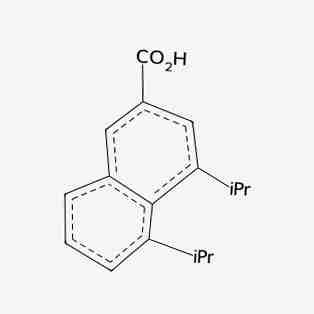 CC(C)c1cccc2cc(C(=O)O)cc(C(C)C)c12